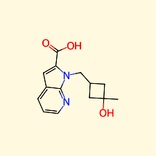 CC1(O)CC(Cn2c(C(=O)O)cc3cccnc32)C1